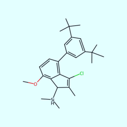 COc1ccc(-c2cc(C(C)(C)C)cc(C(C)(C)C)c2)c2c1C([SiH](C)C)C(C)=C2Cl